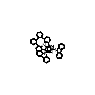 c1ccc2c(c1)c1ccccc1c1cccc3c4ccccc4n(c4c(-c5cc(-n6c7ccccc7c7ccccc76)nc(-n6c7ccccc7c7ccccc76)n5)cccc24)c13